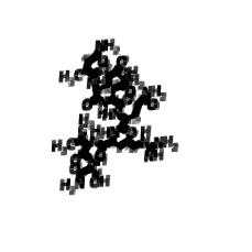 CC(C)[C@H](NC(=O)[C@H](CCCNC(=N)N)NC(=O)[C@H](CCC(N)=O)NC(=O)[C@H](CC(N)=O)NC(=O)[C@H](CCC(=O)O)NC(=O)[C@@H](C)CC(N)=O)C(=O)N[C@@H](CO)C(N)=O